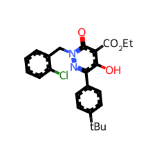 CCOC(=O)c1c(O)c(-c2ccc(C(C)(C)C)cc2)nn(Cc2ccccc2Cl)c1=O